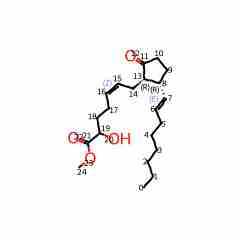 CCCCCC/C=C/[C@H]1CCC(=O)[C@@H]1C/C=C\CCC(O)C(=O)OC